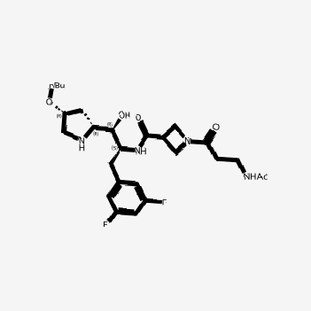 CCCCO[C@H]1CN[C@@H]([C@@H](O)[C@H](Cc2cc(F)cc(F)c2)NC(=O)C2CN(C(=O)CCNC(C)=O)C2)C1